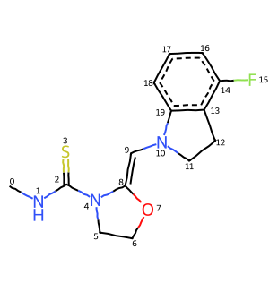 CNC(=S)N1CCOC1=CN1CCc2c(F)cccc21